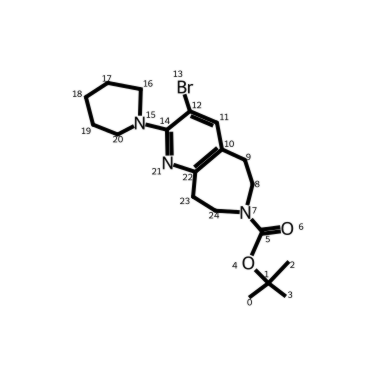 CC(C)(C)OC(=O)N1CCc2cc(Br)c(N3CCCCC3)nc2CC1